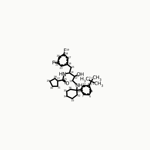 CC(C)(C)c1cccc(C2(NCC(O)C(Cc3cc(F)cc(F)c3)NC(=O)C3CCCC3)CCCCC2)c1